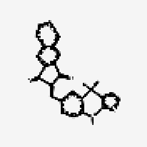 CN1c2ccc(C=C3C(=O)c4cc5ccccc5cc4C3=O)cc2C(C)(C)c2ccsc21